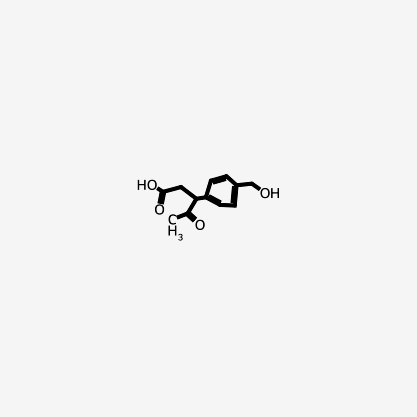 CC(=O)C(CC(=O)O)c1ccc(CO)cc1